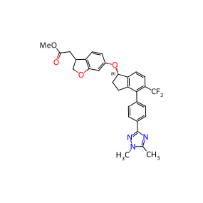 COC(=O)CC1COc2cc(O[C@@H]3CCc4c3ccc(C(F)(F)F)c4-c3ccc(-c4nc(C)n(C)n4)cc3)ccc21